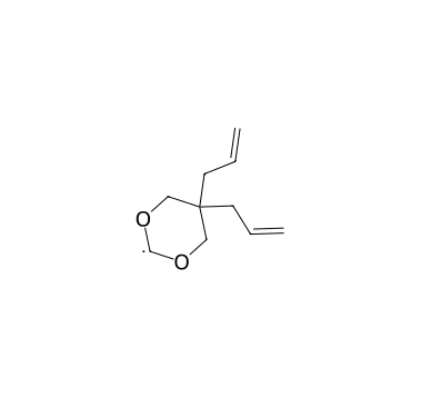 C=CCC1(CC=C)CO[CH]OC1